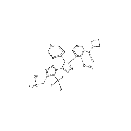 COc1c(C(=O)N2CCC2)cccc1-c1noc(-c2cnn(C[C@@H](C)O)c2C(F)(F)F)c1-c1ccncn1